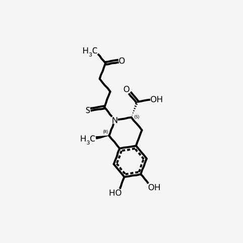 CC(=O)CCC(=S)N1[C@H](C)c2cc(O)c(O)cc2C[C@H]1C(=O)O